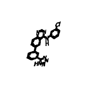 Clc1cccc(Nc2ncnc3ccc(-c4cccc(-c5nnn[nH]5)c4)cc23)c1